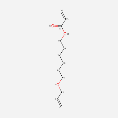 C=CCOCCCCCCOC(=O)C=C